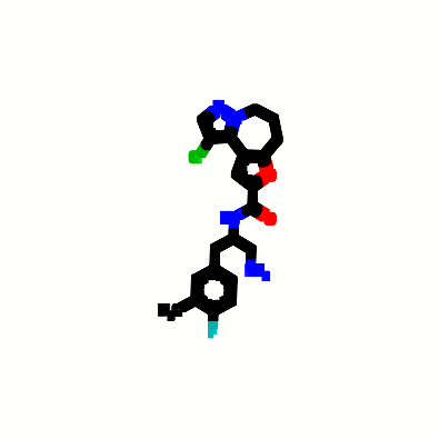 Cc1cc(CC(CN)NC(=O)c2cc3c(o2)CCCn2ncc(Cl)c2-3)ccc1F